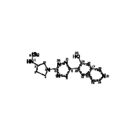 CC(C)(C)NC1CCN(c2ncc(-c3cc4ccncc4cc3O)nn2)C1